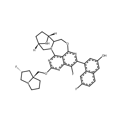 Oc1cc(-c2nc3c4c(nc(OC[C@@]56CCCN5C[C@H](F)C6)nc4c2F)N2C[C@@H]4CC[C@@H](N4)C2CO3)c2cc(F)ccc2c1